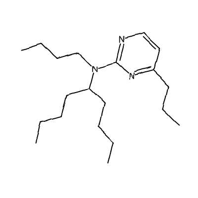 CCCCC(CCCC)N(CCCC)c1nccc(CCC)n1